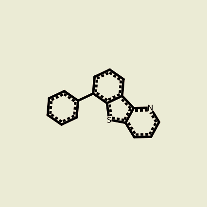 c1ccc(-c2cccc3c2sc2cccnc23)cc1